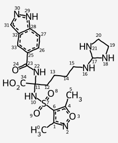 Cc1noc(C)c1S(=O)(=O)NC(CCCCNC1NCCN1)(NC(=O)c1ccc2[nH]ncc2c1)C(=O)O